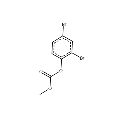 COC(=O)Oc1ccc(Br)cc1Br